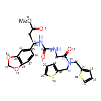 COC(=O)C[C@@H](NC(=O)NCC(=O)N(Cc1cccs1)Cc1cccs1)c1ccc2c(c1)OCO2